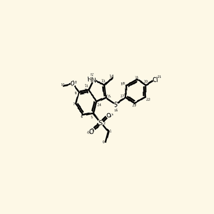 CCS(=O)(=O)c1ccc(OC)c2[nH]c(C)c(Sc3ccc(Cl)cc3)c12